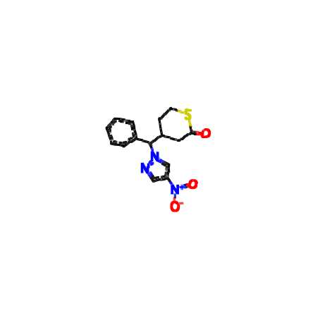 O=C1CC(C(c2ccccc2)n2cc([N+](=O)[O-])cn2)CCS1